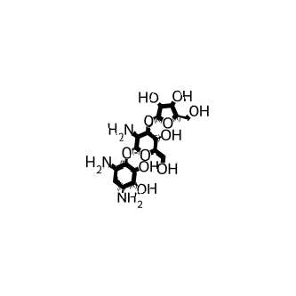 NC1C(O[C@@H]2O[C@H](CO)C(O)C2O)[C@H](O)C(CO)O[C@@H]1O[C@@H]1C(N)C[C@@H](N)[C@@H](O)C1O